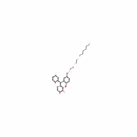 O=C(NCCOCCOCCCCCCCl)c1ccc(C(=O)O)c(-c2c3cc(F)c(=O)cc-3oc3cc(O)c(F)cc23)c1